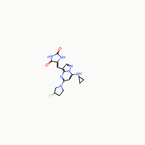 O=C1NC(=O)/C(=C/c2cnn3c(NC4CC4)cc(N4CC[C@@H](F)C4)nc23)N1